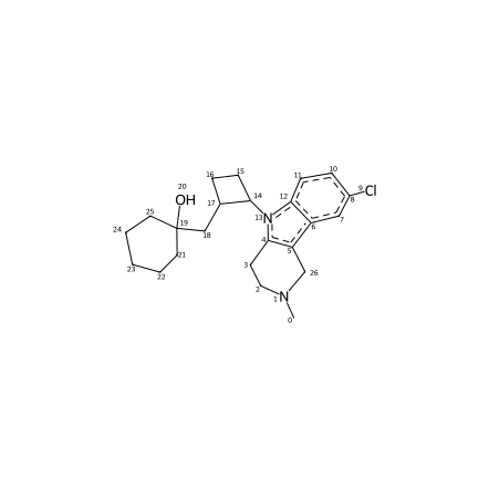 CN1CCc2c(c3cc(Cl)ccc3n2C2CCC2CC2(O)CCCCC2)C1